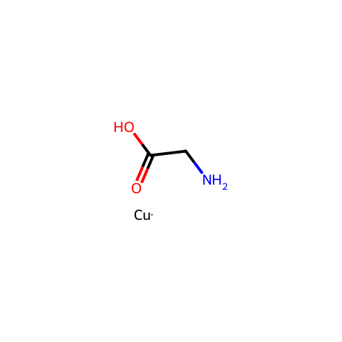 NCC(=O)O.[Cu]